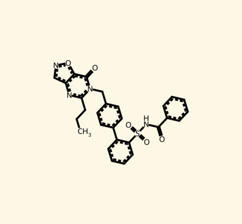 CCCc1nc2cnoc2c(=O)n1Cc1ccc(-c2ccccc2S(=O)(=O)NC(=O)c2ccccc2)cc1